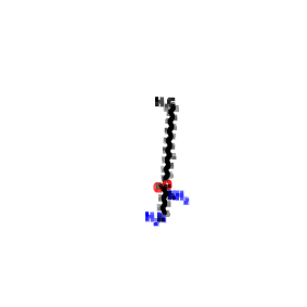 CCCCCCCCCCCCCCCCCOC(=O)[C@@H](N)CCCCN